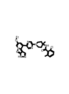 CCOc1cc(-c2cnc(N3CCC(C)(NC(=O)c4c(C)cccc4Cl)CC3)cn2)c2c3cn[nH]c3nn2c1